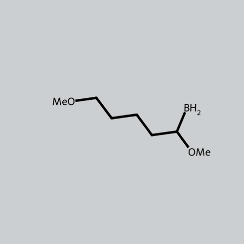 BC(CCCCOC)OC